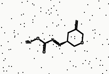 C=C1COC[C@@H](N=NC(=O)OC(C)(C)C)C1